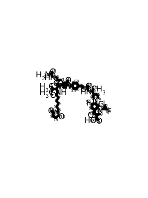 CC(C)C(NC(=O)CCCCCN1C(=O)C=CC1=O)C(=O)N[C@@H](CCCNC(N)=O)C(=O)Nc1ccc(COC(=O)NC(C)C2CCN(c3c(F)cc4c(=O)c(C(=O)O)cn([C@H]5C[C@@H]5F)c4c3Cl)C2)cc1